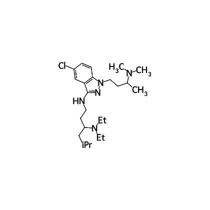 CCN(CC)C(CCNc1nn(CCC(C)N(C)C)c2ccc(Cl)cc12)CC(C)C